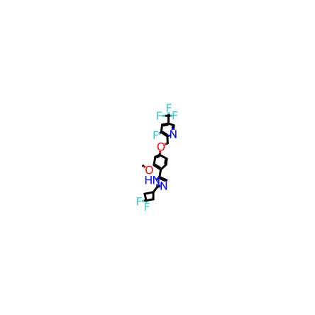 COc1cc(OCc2ncc(C(F)(F)F)cc2F)ccc1-c1cnc(C2CC(F)(F)C2)[nH]1